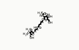 CO[C@@H]1[C@H](OC)[C@@H](CO)O[C@H]1CCCNC(=O)CCCCOC1OC(CO)C(O)C(O)C1NC(C)=O